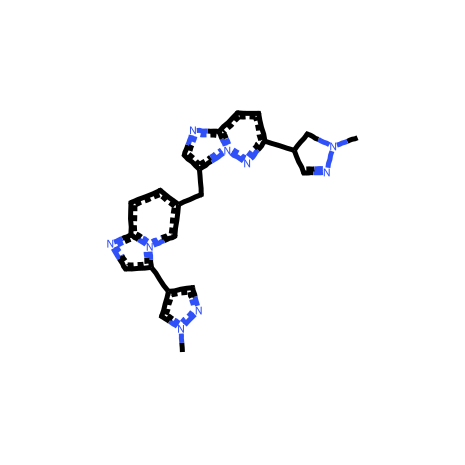 CN1CC(c2ccc3ncc(Cc4ccc5ncc(-c6cnn(C)c6)n5c4)n3n2)C=N1